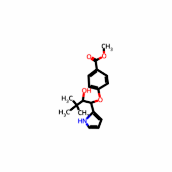 COC(=O)c1ccc(OC(c2ccc[nH]2)C(O)C(C)(C)C)cc1